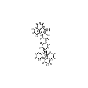 c1ccc(N(c2ccc(-c3ccc4c(c3)-c3cccc5cccc(c35)N4)cc2)c2cccc3ccccc23)cc1